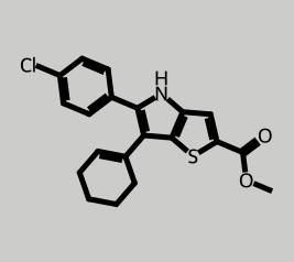 COC(=O)c1cc2[nH]c(-c3ccc(Cl)cc3)c(C3=CCCCC3)c2s1